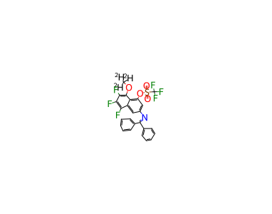 [2H]C([2H])([2H])Oc1c(F)c(F)c(F)c2cc(N=C(c3ccccc3)c3ccccc3)cc(OS(=O)(=O)C(F)(F)F)c12